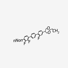 C=CC1OCC(c2ccc(-c3ccc(-c4ccc(CCCCCCCCC)c(F)c4F)cc3)c(F)c2)CO1